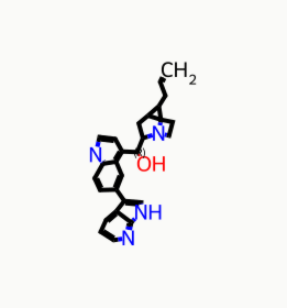 C=CCC1C2CC([C@H](O)c3ccnc4ccc(-c5c[nH]c6ncccc56)cc34)N3CCC123